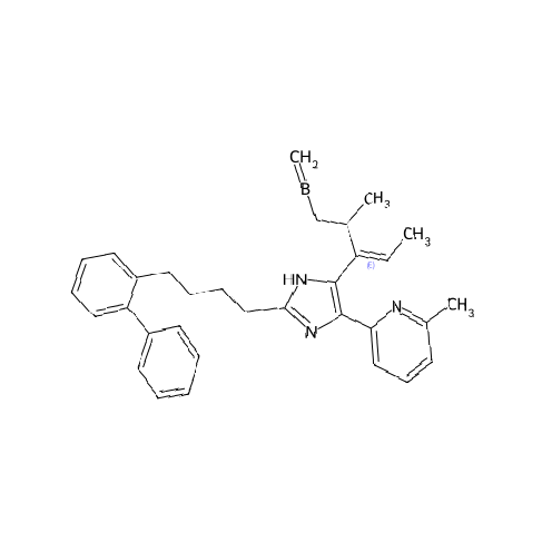 C=BCC(C)/C(=C\C)c1[nH]c(CCCCc2ccccc2-c2ccccc2)nc1-c1cccc(C)n1